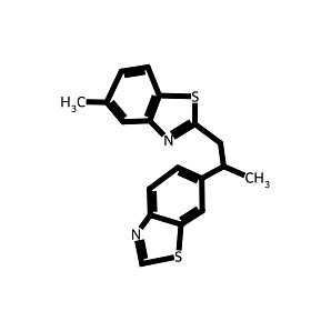 Cc1ccc2sc(CC(C)c3ccc4ncsc4c3)nc2c1